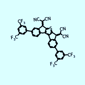 N#CC(C#N)=C1c2cc(-c3cc(C(F)(F)F)cc(C(F)(F)F)c3)ccc2-c2c1sc1c2-c2ccc(-c3cc(C(F)(F)F)cc(C(F)(F)F)c3)cc2C1=C(C#N)C#N